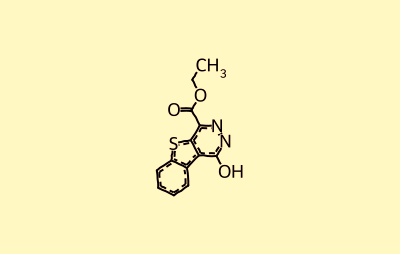 CCOC(=O)c1nnc(O)c2c1sc1ccccc12